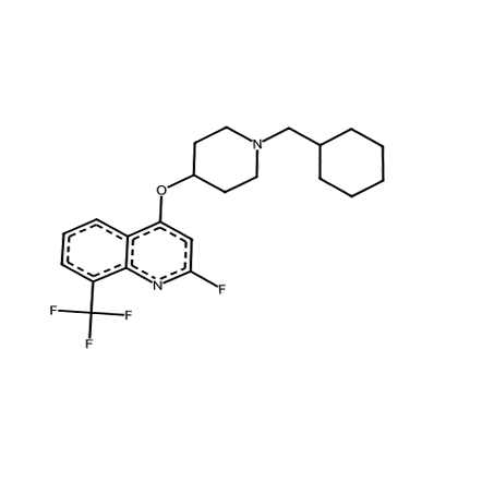 Fc1cc(OC2CCN(CC3CCCCC3)CC2)c2cccc(C(F)(F)F)c2n1